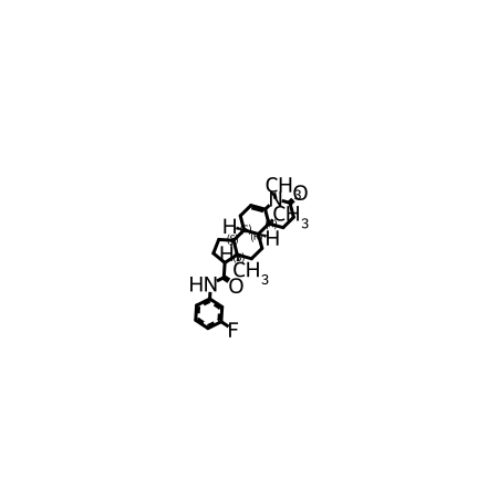 CN1C(=O)CC[C@@]2(C)C1=CC[C@@H]1[C@H]2CC[C@]2(C)C(C(=O)Nc3cccc(F)c3)CC[C@@H]12